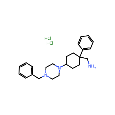 Cl.Cl.NCC1(c2ccccc2)CCC(N2CCN(Cc3ccccc3)CC2)CC1